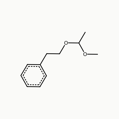 COC(C)OCCc1ccccc1